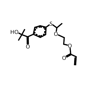 C=CC(=O)OCCOC(C)Sc1ccc(C(=O)C(C)(C)O)cc1